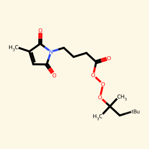 CC1=CC(=O)N(CCCC(=O)OOOC(C)(C)CC(C)(C)C)C1=O